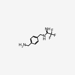 N=C(NCc1ccc(CN)cc1)C(F)(F)F